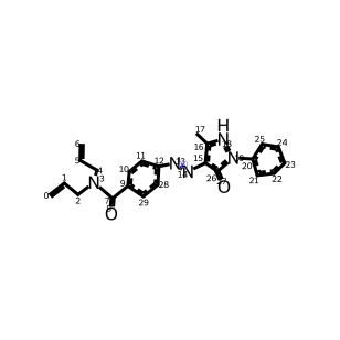 C=CCN(CC=C)C(=O)c1ccc(/N=N/c2c(C)[nH]n(-c3ccccc3)c2=O)cc1